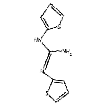 N/C(=N\c1cccs1)Nc1cccs1